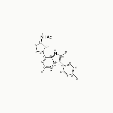 CC(=O)N[C@@H]1CCN(c2cc(C)nn3c(-c4ccc(C)cc4)c(C)nc23)C1